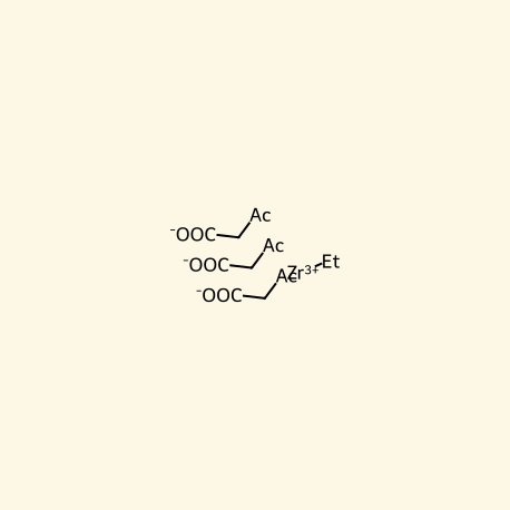 CC(=O)CC(=O)[O-].CC(=O)CC(=O)[O-].CC(=O)CC(=O)[O-].C[CH2][Zr+3]